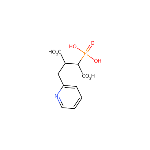 O=C(O)C(Cc1ccccn1)C(C(=O)O)P(=O)(O)O